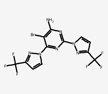 Nc1nc(-n2ccc(C(F)(F)F)n2)nc(-n2ccc(C(F)(F)F)n2)c1Br